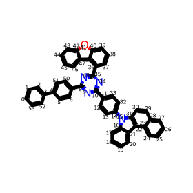 c1ccc(-c2ccc(-c3nc(-c4ccc(-n5c6ccccc6c6c7ccccc7ccc65)cc4)nc(-c4cccc5oc6ccccc6c45)n3)cc2)cc1